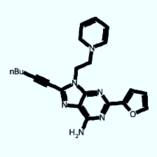 CCCCC#Cc1nc2c(N)nc(-c3ccco3)nc2n1CCN1C=CC=CC1